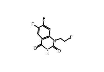 O=c1[nH]c(=O)n(CCF)c2cc(F)c(F)cc12